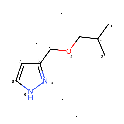 CC(C)COCc1cc[nH]n1